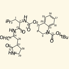 CC(C)CC(NC(=O)OC1CCN(C(=O)OC(C)(C)C)c2ccccc21)C(=O)NC(C=O)CC1CCNC1=O